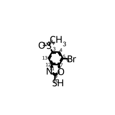 C[S+]([O-])c1cc(Br)c2oc(S)nc2c1